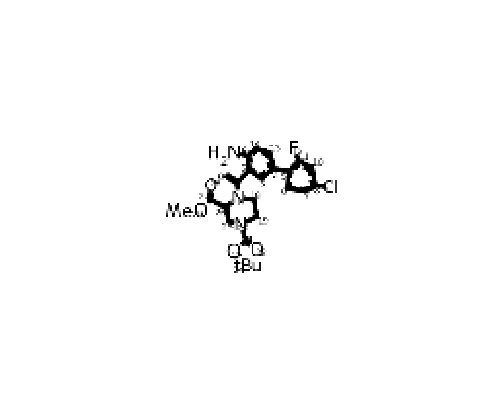 C=C(c1cc(-c2ccc(Cl)cc2F)ccc1N)N1CCN(C(=O)OC(C)(C)C)CC1C(=O)OC